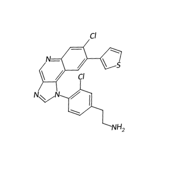 NCCc1ccc(-n2cnc3cnc4cc(Cl)c(-c5ccsc5)cc4c32)c(Cl)c1